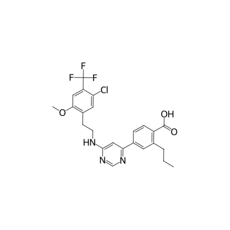 CCCc1cc(-c2cc(NCCc3cc(Cl)c(C(F)(F)F)cc3OC)ncn2)ccc1C(=O)O